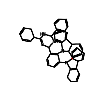 C1=CCC(C2=NC(c3cccc(N4C5=C(C=CCC5)C5C=CC=CC54)c3N3c4ccccc4C4C=CC=CC43)NC(c3ccccc3)N2)C=C1